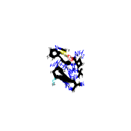 CC(C)(C)CNc1c(C#N)cnc2c(F)cc(N[C@H](C3=CN(C4(C(N)=O)CCC4)NN3)c3cccc4ncsc34)cc12